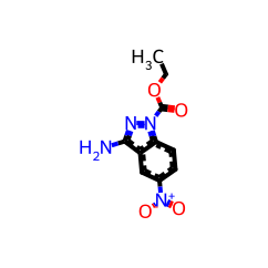 CCOC(=O)n1nc(N)c2cc([N+](=O)[O-])ccc21